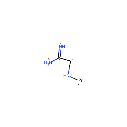 CC(C)NCC(=N)N